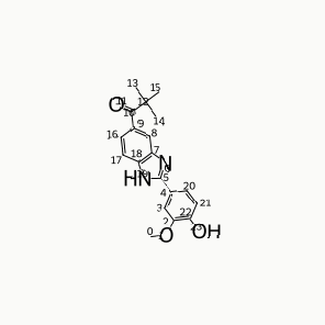 COc1cc(-c2nc3cc(C(=O)C(C)(C)C)ccc3[nH]2)ccc1O